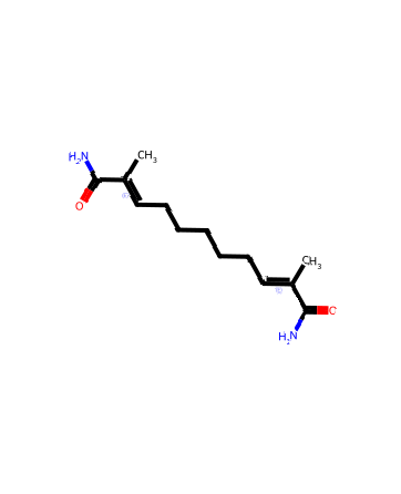 C/C(=C\CCCCC/C=C(\C)C(N)=O)C(N)=O